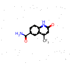 NC(=O)c1ccc2[nH]c(=O)cc(C(F)(F)F)c2c1